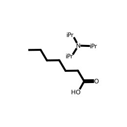 CC(C)N(C(C)C)C(C)C.CCCCCCC(=O)O